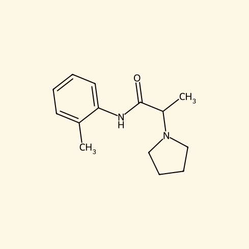 Cc1ccccc1NC(=O)C(C)N1CCCC1